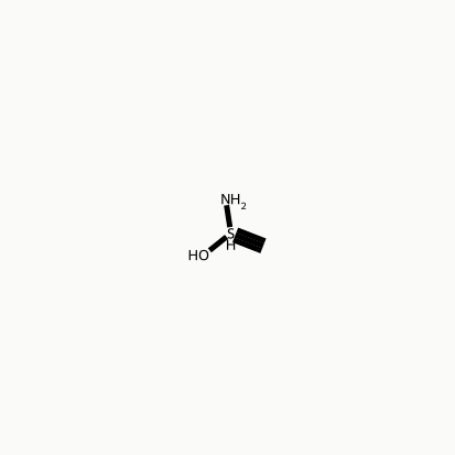 C#[SH](N)O